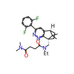 CCN(C[C@]12CC[C@H](c3cc(-c4c(F)cccc4F)nnc31)C2(C)C)C(=O)CCC(=O)N(C)C